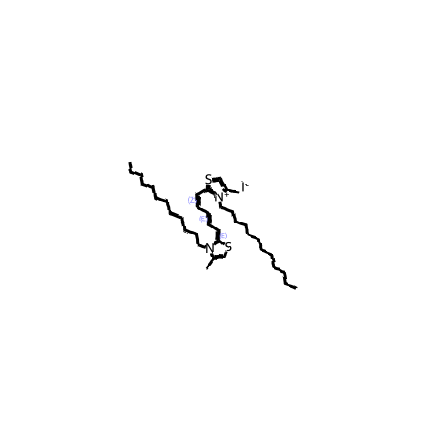 CCCCCCCCCCCCN1C(C)=CS/C1=C/C=C/C=C\c1scc(C)[n+]1CCCCCCCCCCCC.[I-]